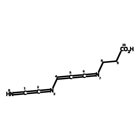 N=C=C=NC=C=C=NCCC(=O)O